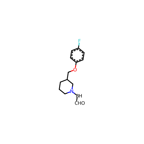 O=CBN1CCCC(COc2ccc(F)cc2)C1